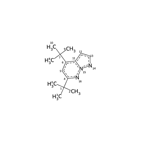 CC(C)(C)c1cc(C(C)(C)C)c2ccnn2n1